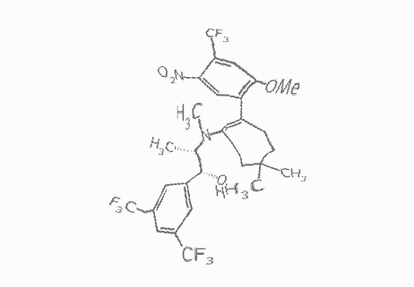 COc1cc(C(F)(F)F)c([N+](=O)[O-])cc1C1=C(N(C)[C@@H](C)[C@H](O)c2cc(C(F)(F)F)cc(C(F)(F)F)c2)CC(C)(C)CC1